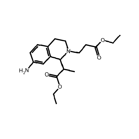 CCOC(=O)CCN1CCc2ccc(N)cc2C1C(C)C(=O)OCC